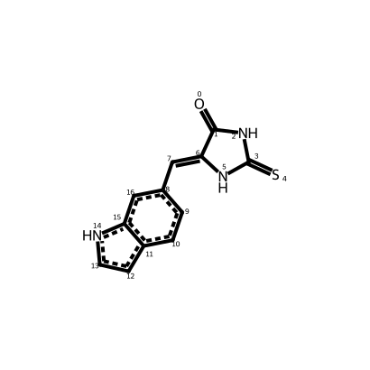 O=C1NC(=S)N/C1=C\c1ccc2cc[nH]c2c1